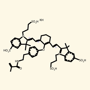 C=C(C)C(=O)NCCc1ccc(OC2=C(/C=C/C3=[N+](CCCS(=O)(=O)O)c4ccc(S(=O)(=O)O)cc4C3(C)C)CCC/C2=C\C=C2\N(CCCS(=O)(=O)O)c3ccc(S(=O)(=O)O)cc3C2(C)C)cc1.[KH]